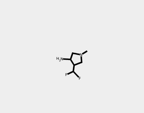 CN1CC(N)C(C(F)F)C1